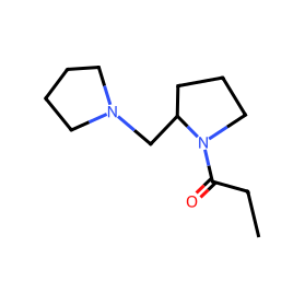 CCC(=O)N1CCCC1CN1CCCC1